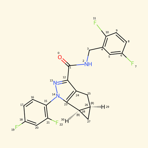 O=C(NCc1cc(F)ccc1F)c1nn(-c2ccc(F)cc2F)c2c1C[C@H]1C[C@@H]21